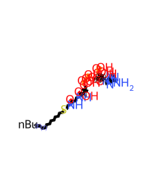 CCCC/C=C/C=C\CCCCCCCCSCCNC(=O)CCNC(=O)[C@H](O)C(C)(C)COP(=O)(O)OP(=O)(O)OC[C@H]1O[C@@H](n2cnc3c(N)ncnc32)[C@H](O)[C@@H]1OP(=O)(O)O